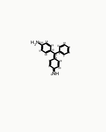 N=C1C=CC(=C(c2ccccc2)c2ccc(N)cc2)C=C1